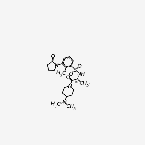 [CH2][C@H](NS(=O)(=O)c1cccc(N2CCCC2=O)c1C)C(=O)N1CCC(N(C)C)CC1